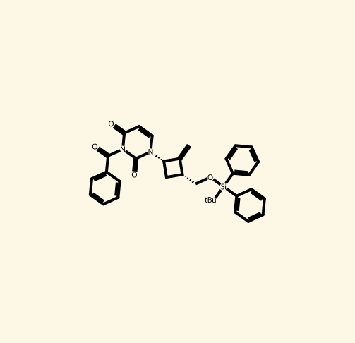 C=C1[C@H](CO[Si](c2ccccc2)(c2ccccc2)C(C)(C)C)C[C@@H]1n1ccc(=O)n(C(=O)c2ccccc2)c1=O